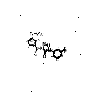 CC(=O)N[C@H]1CCN(C(=O)n2nnn(-c3cccc(F)c3)c2=O)C1